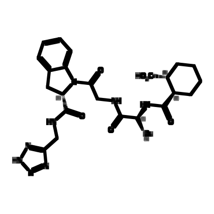 CC[C@H](C)[C@H](NC(=O)[C@@H]1CCCC[C@H]1C(=O)O)C(=O)NCC(=O)N1c2ccccc2C[C@H]1C(=O)NCc1nn[nH]n1